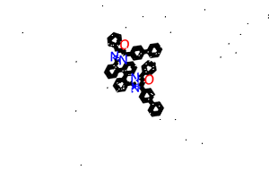 c1ccc(-c2ccc(-c3nc(-c4ccccc4-c4ccccc4-c4ccccc4-c4nc(-c5ccc(-c6ccccc6)cc5)c5oc6ccccc6c5n4)nc4c3oc3ccccc34)cc2)cc1